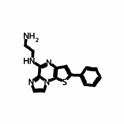 NCCNc1nc2cc(-c3ccccc3)sc2n2ccnc12